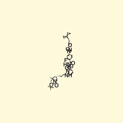 CC(C)(C)OC(=O)N1C[C@@H](CCCNc2cccc(S(=O)(=O)NC(=O)c3ccc(-n4ccc(OCCC5C6(CC6)C56CC6)n4)cc3F)n2)CC1(C)C